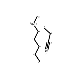 CCC#N.CCCCCNC